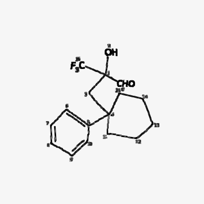 O=CC(O)(CC1(c2ccccc2)CCCCC1)C(F)(F)F